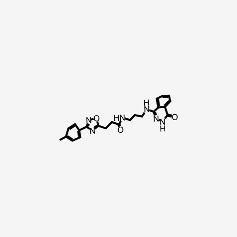 Cc1ccc(-c2noc(CCC(=O)NCCCNc3n[nH]c(=O)c4ccccc34)n2)cc1